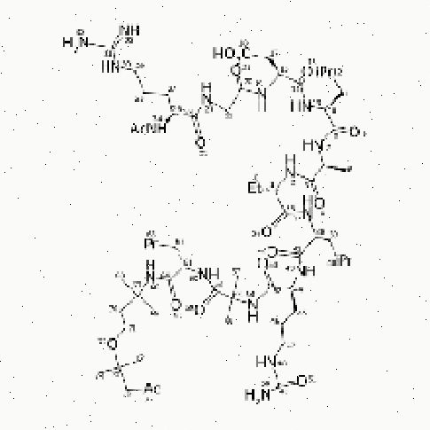 CC[C@H](NC(=O)[C@H](C)NC(=O)[C@H](CC(C)C)NC(=O)[C@H](CC(=O)O)NC(=O)CNC(=O)[C@H](CCCNC(=N)N)NC(C)=O)C(=O)N[C@@H](CC(C)C)C(=O)N[C@@H](CCCNC(N)=O)C(=O)NC(C)(C)C(=O)N[C@@H](CC(C)C)C(=O)NC(C)(C)CCOC(C)(C)CC(C)=O